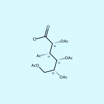 CC(=O)OC[C@@H](OC(C)=O)[C@@H](OC(C)=O)[C@H](C(C)=O)[C@@H](OC(C)=O)C(=O)Cl